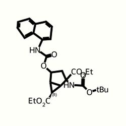 CCOC(=O)[C@H]1C2C(OC(=O)Nc3cccc4ccccc34)CC(NC(=O)OC(C)(C)C)(C(=O)OCC)C21